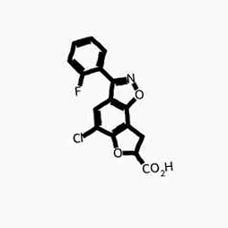 O=C(O)C1Cc2c(c(Cl)cc3c(-c4ccccc4F)noc23)O1